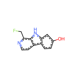 Oc1ccc2c(c1)[nH]c1c(CF)nccc12